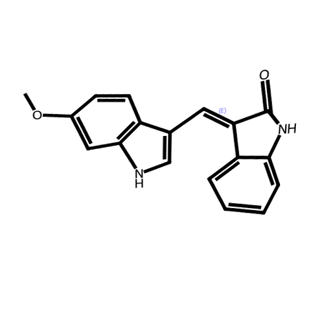 COc1ccc2c(/C=C3/C(=O)Nc4ccccc43)c[nH]c2c1